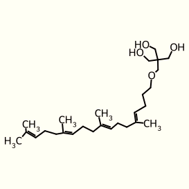 CC(C)=CCC/C(C)=C/CC/C(C)=C/CCC(C)=CCCCOCC(CO)(CO)CO